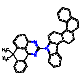 CC1(C)c2ccccc2-c2nc(-n3c4ccccc4c4c5ccc6ccc7ccccc7c6c5ccc43)nc3cccc1c23